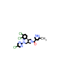 Cc1cc(C(=O)N2CC(CNc3ncc(Cl)cn3)[C@@H](c3ccc(Cl)c(Cl)c3)C2)cnn1